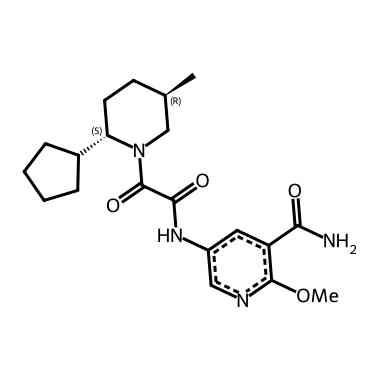 COc1ncc(NC(=O)C(=O)N2C[C@H](C)CC[C@H]2C2CCCC2)cc1C(N)=O